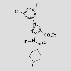 CCOC(=O)c1cn(-c2cc(F)cc(Cl)c2)nc1N(C(=O)[C@H]1CC[C@H](C)CC1)C(C)C